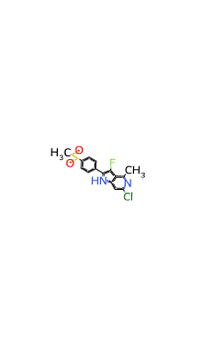 Cc1nc(Cl)cc2[nH]c(-c3ccc(S(C)(=O)=O)cc3)c(F)c12